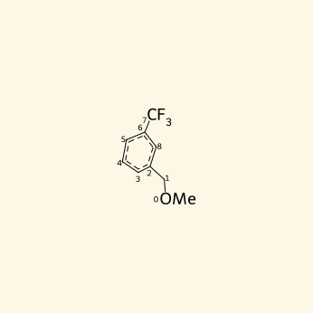 COCc1cccc(C(F)(F)F)c1